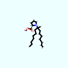 CCCCCCCC(C)(CCCCCCC)N1CCC[C@@H]1C(=O)OC